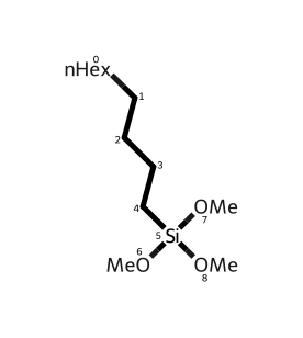 CCCCCCCCCC[Si](OC)(OC)OC